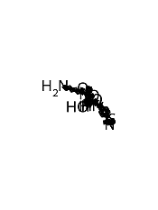 Cc1ncsc1-c1ccc([C@H](C)NC(=O)[C@@H]2C[C@@H](O)CN2C(=O)C(NC(=O)CCCCCN)C(C)(C)C)cc1